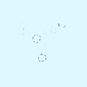 C=CC(=O)N1CC(CN(C)c2nc(OCC34CCCN3CCC4)nc3c2C[C@H](C)[C@@H](c2nc(N)cc(C)c2C(F)(F)F)C3)C1